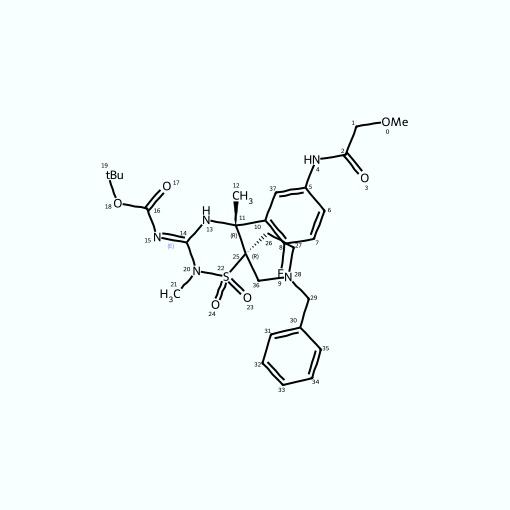 COCC(=O)Nc1ccc(F)c([C@@]2(C)N/C(=N\C(=O)OC(C)(C)C)N(C)S(=O)(=O)[C@@]23CCN(Cc2ccccc2)C3)c1